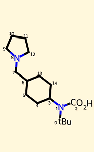 CC(C)(C)N(C(=O)O)C1CCC(CN2CCCC2)CC1